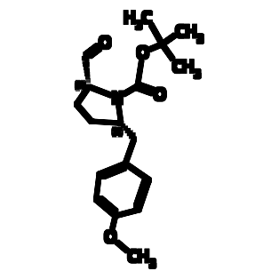 COc1ccc(C[C@@H]2CC[C@H](C=O)N2C(=O)OC(C)(C)C)cc1